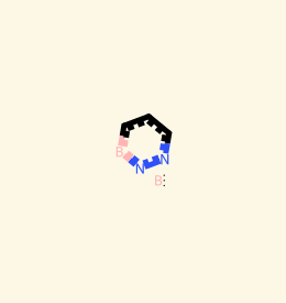 [B].b1cccnn1